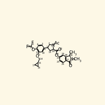 CC(=O)N1CC(c2ccc(OC(F)F)c(OCC3CC3)c2)CC1C(=O)Oc1ccc2c(c1)C(C)N(C)C2=O